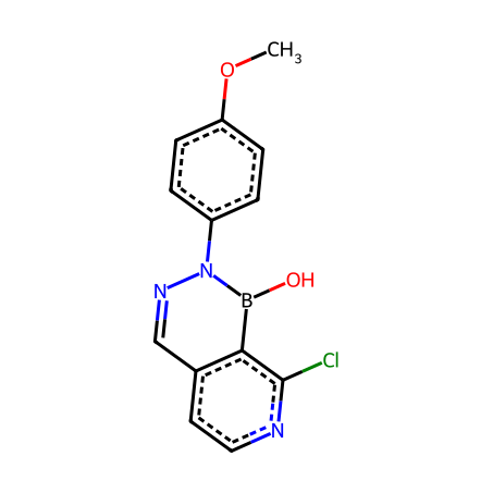 COc1ccc(N2N=Cc3ccnc(Cl)c3B2O)cc1